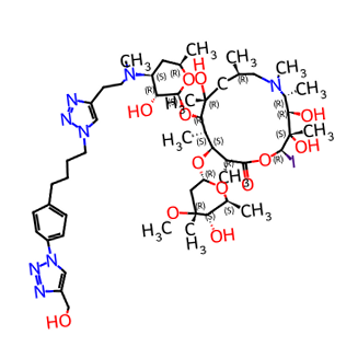 CO[C@]1(C)C[C@H](O[C@H]2[C@H](C)[C@@H](O[C@@H]3O[C@H](C)C[C@H](N(C)CCc4cn(CCCCc5ccc(-n6cc(CO)nn6)cc5)nn4)[C@H]3O)[C@](C)(O)C[C@@H](C)CN(C)[C@H](C)[C@@H](O)[C@](C)(O)[C@@H](I)OC(=O)[C@@H]2C)O[C@@H](C)[C@@H]1O